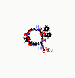 Cc1c2ccc(c1C)C(=O)NCCN1CCNC(=O)c3ccc(c(C)c3C)C(=O)NCCN(CCNC2=O)CCNC(=O)c2ccc(c(OCc3ccccc3)c2OCc2ccccc2)C(=O)NC(CCCNC(=O)OC(C)(C)C)C1